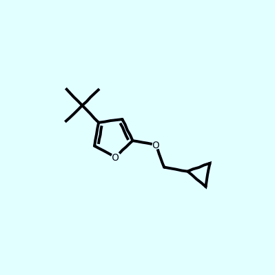 CC(C)(C)c1coc(OCC2CC2)c1